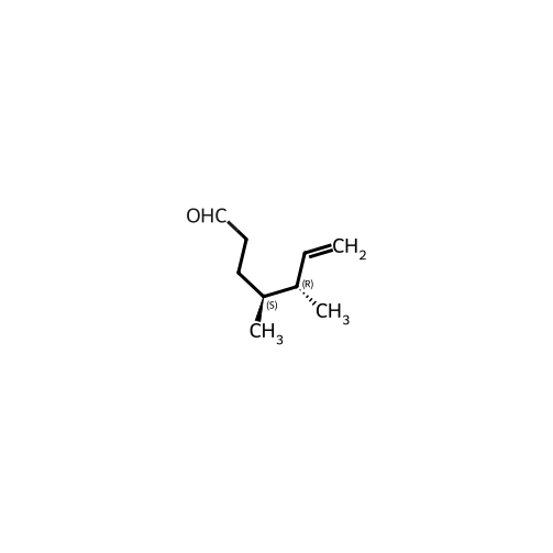 C=C[C@H](C)[C@@H](C)CCC=O